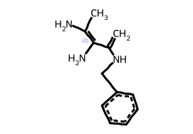 C=C(NCc1ccccc1)/C(N)=C(\C)N